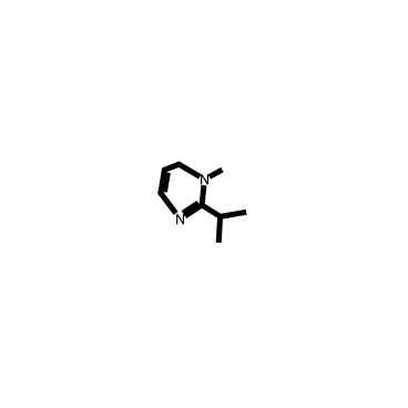 CC(C)C1=NC=CCN1C